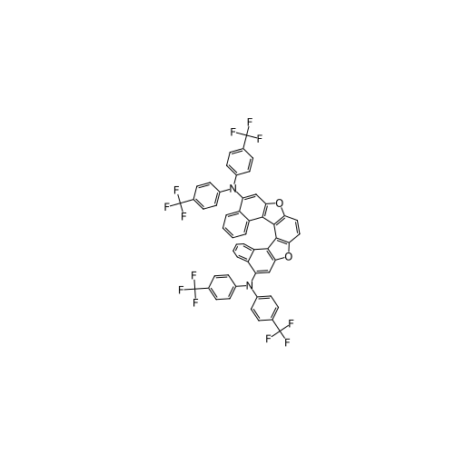 FC(F)(F)c1ccc(N(c2ccc(C(F)(F)F)cc2)c2cc3oc4ccc5oc6cc(N(c7ccc(C(F)(F)F)cc7)c7ccc(C(F)(F)F)cc7)c7ccccc7c6c5c4c3c3ccccc23)cc1